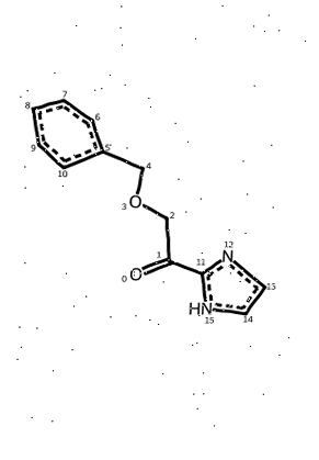 O=C(COCc1ccccc1)c1ncc[nH]1